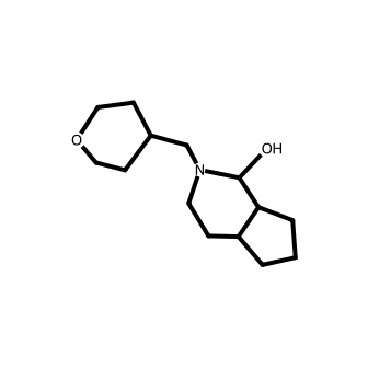 OC1C2CCCC2CCN1CC1CCOCC1